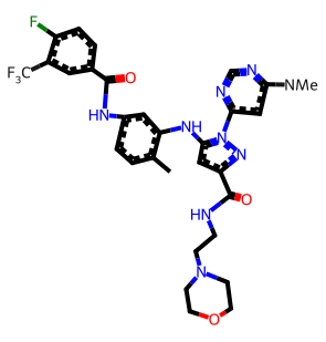 CNc1cc(-n2nc(C(=O)NCCN3CCOCC3)cc2Nc2cc(NC(=O)c3ccc(F)c(C(F)(F)F)c3)ccc2C)ncn1